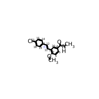 CNC(=O)c1ccc(OC)c(/C=C/c2ccc(Cl)cc2)c1